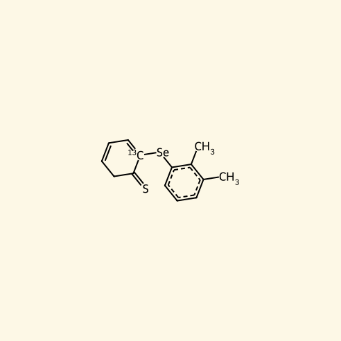 Cc1cccc([Se][13C]2=CC=CCC2=S)c1C